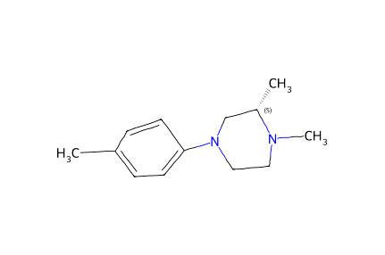 Cc1ccc(N2CCN(C)[C@@H](C)C2)cc1